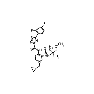 COCC(C)(C)NC(=O)[C@@H]1CN(CC2CC2)CC[C@H]1NC(=O)c1noc(-c2ccc(F)cc2F)n1